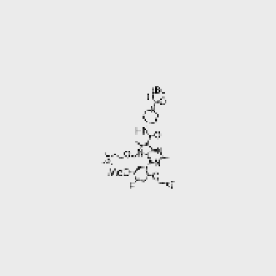 COc1cc(-c2nc(C)nc3c(C(=O)NC4CCN(C(=O)OC(C)(C)C)CC4)c(C)n(COCC[Si](C)(C)C)c23)c(OCC2CC2)cc1F